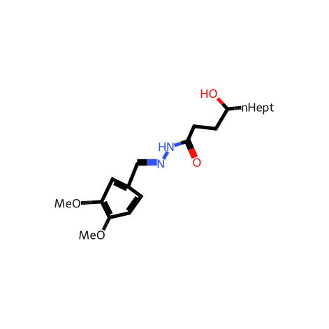 CCCCCCCC(O)CCC(=O)N/N=C/c1ccc(OC)c(OC)c1